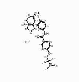 Cl.NC1=N[C@@]2(c3cc(NC(=O)c4cnc(OCC(F)(F)C(F)F)cn4)ccc3F)COC[C@@]2(F)CO1